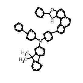 CC1(C)c2ccccc2-c2ccc(N(c3ccc(-c4ccccc4)cc3)c3ccc(-c4ccc5ccc6ccc7c(c6c5c4)NC(c4ccccc4)O7)cc3)cc21